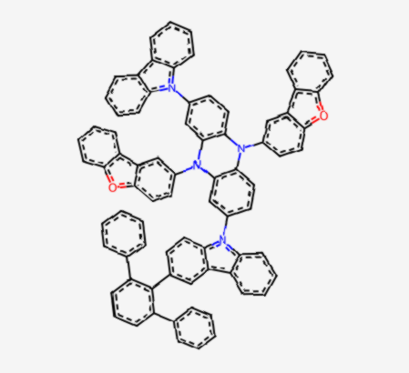 c1ccc(-c2cccc(-c3ccccc3)c2-c2ccc3c(c2)c2ccccc2n3-c2ccc3c(c2)N(c2ccc4oc5ccccc5c4c2)c2cc(-n4c5ccccc5c5ccccc54)ccc2N3c2ccc3oc4ccccc4c3c2)cc1